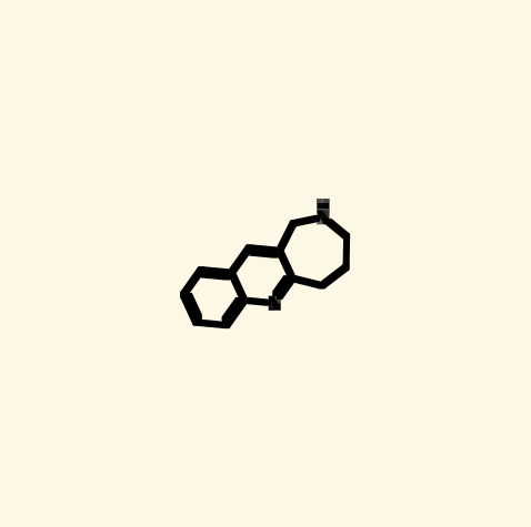 c1ccc2nc3c(cc2c1)CNCCC3